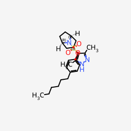 CCCCCCc1ccc(O[C@@H]2C[C@H]3CC[C@@H](C2)N3S(=O)(=O)c2c(C)n[nH]c2C)cc1